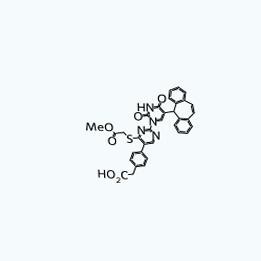 COC(=O)CSc1nc(-n2cc(C3c4ccccc4C=Cc4ccccc43)c(=O)[nH]c2=O)ncc1-c1ccc(CC(=O)O)cc1